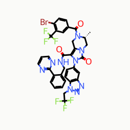 C[C@@H]1Cn2c(c(C(=O)NCc3ccccc3-c3ncccn3)n(-c3ccc4c(c3)nnn4CC(F)(F)F)c2=O)CN1C(=O)c1ccc(Br)c(C(F)(F)F)c1